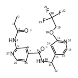 CCC(=O)Nc1cc(C(=O)NC(C)c2ccnc(OCC(F)(F)F)c2)ccn1